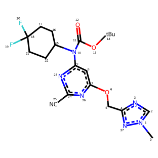 Cn1cnc(COc2cc(N(C(=O)OC(C)(C)C)C3CCC(F)(F)CC3)nc(C#N)n2)n1